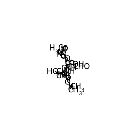 C[C@H]1CCCCN1c1nnc2ccc(O[C@@H]3CC[C@H](NC(=O)Nc4cc(C(C)(C)CO)nn4-c4cccc(OCCN(C)C)c4)c4ccccc43)cn12.O=CO